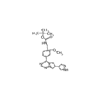 COc1cc(-c2ncnn3cc(-c4cn[nH]c4)cc23)ccc1CNC(=O)OC(C)(C)C